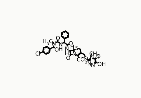 CN(C(=O)NC(C(=O)N[C@H]1C(=O)N2C(C(=O)O)=C(CSc3nnc(O)c(=O)n3C)CS[C@@H]12)c1ccccc1)C(=O)c1ccc(Cl)cc1